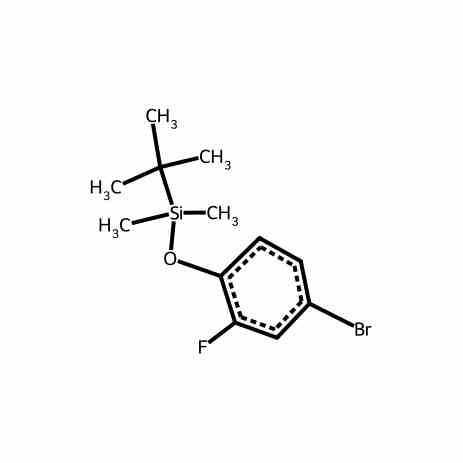 CC(C)(C)[Si](C)(C)Oc1ccc(Br)cc1F